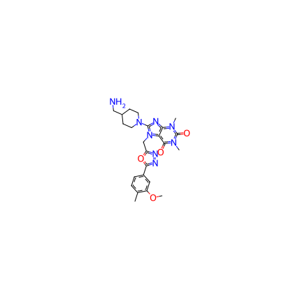 COc1cc(-c2nnc(Cn3c(N4CCC(CN)CC4)nc4c3c(=O)n(C)c(=O)n4C)o2)ccc1C